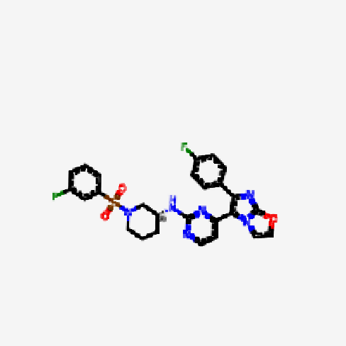 O=S(=O)(c1cccc(F)c1)N1CCC[C@@H](Nc2nccc(-c3c(-c4ccc(F)cc4)nc4occn34)n2)C1